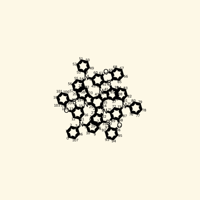 c1ccc(N(c2ccccc2)c2cc3c4c(c2)-n2c5c(cccc5c5c2c2c6cccc7c6n(c2c2c6cccc8c6n(c52)-c2cc(N(c5ccccc5)c5ccccc5)cc5c2B8c2ccccc2O5)-c2cc(N(c5ccccc5)c5ccccc5)cc5c2B7c2ccccc2O5)B4c2ccccc2O3)cc1